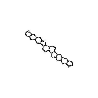 c1cc2cc3cc4c(cc3cc2s1)sc1c4ccc2c1ccc1c3cc4cc5ccsc5cc4cc3sc12